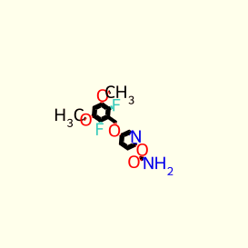 COc1cc(OC)c(F)c(COc2ccc(OC(N)=O)nc2)c1F